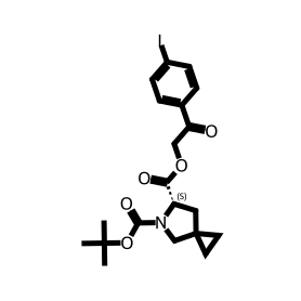 CC(C)(C)OC(=O)N1CC2(CC2)C[C@H]1C(=O)OCC(=O)c1ccc(I)cc1